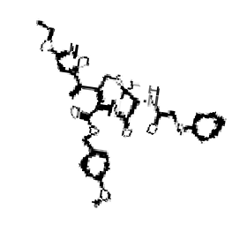 C=C(C1=C(C(=O)OCc2ccc(OC)cc2)N2C(=O)[C@@H](NC(=O)CSc3ccccc3)[C@H]2SC1)c1cc(OCC)no1